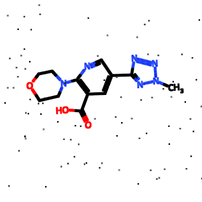 Cn1nnc(-c2cnc(N3CCOCC3)c(C(=O)O)c2)n1